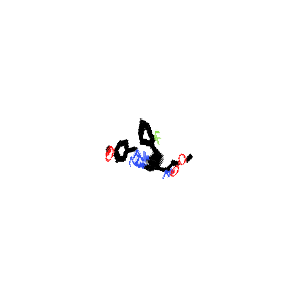 CCOC1CC(c2cnn(Cc3ccc(OC)cc3)c2Cc2ccccc2F)=NO1